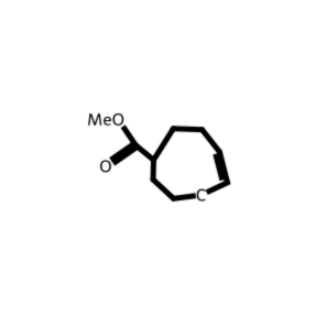 COC(=O)C1CCC=CCCC1